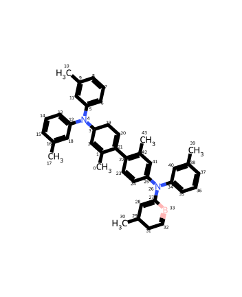 CC1=CC(N(c2cccc(C)c2)c2cccc(C)c2)CC=C1c1ccc(N(C2=CC(C)CC=B2)c2cccc(C)c2)cc1C